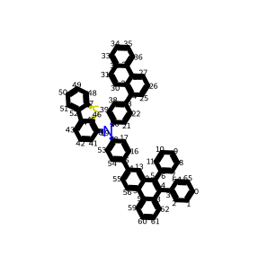 c1ccc(-c2c(-c3ccccc3)c3cc(-c4ccc(N(c5ccc(-c6cccc7c6ccc6ccccc67)cc5)c5cccc6c5sc5ccccc56)cc4)ccc3c3ccccc23)cc1